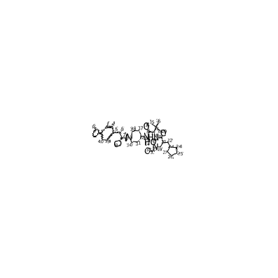 COc1ccc(CC(=O)N2CCC(N(C)C(=O)C(NC(=O)C(CC3CCCC3)CN(O)C=O)C(C)(C)C)CC2)cc1